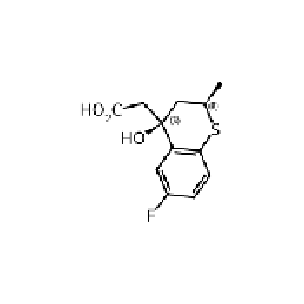 C[C@@H]1C[C@@](O)(CC(=O)O)c2cc(F)ccc2S1